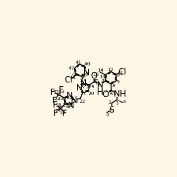 CSC[C@H](C)NC(=O)c1cc(Cl)cc(C)c1NC(=O)c1cc(Cn2nc(C(F)(F)F)c(C(F)(F)F)n2)nn1-c1ncccc1Cl